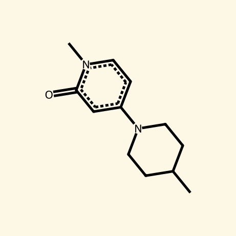 CC1CCN(c2ccn(C)c(=O)c2)CC1